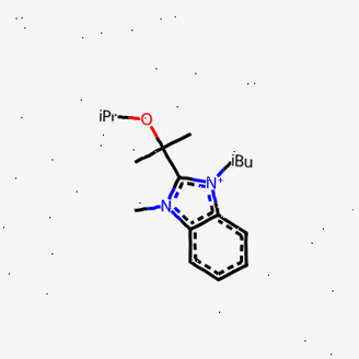 CCC(C)[n+]1c(C(C)(C)OC(C)C)n(C)c2ccccc21